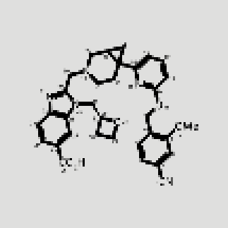 COc1cc(C#N)ccc1COc1cccc(C23CCN(Cc4nc5ccc(C(=O)O)cc5n4C[C@@H]4CCO4)CC2C3)n1